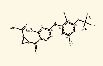 COC(=O)C1CC1C(=O)c1ncc(Nc2cc(C(F)(F)F)cc(CC(C)(C)F)c2F)nc1OC